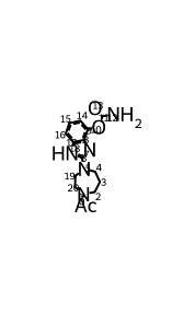 CC(=O)N1CCCN(c2nc3c(OC(N)=O)cccc3[nH]2)CC1